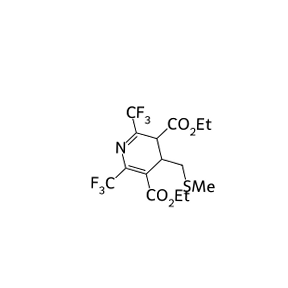 CCOC(=O)C1=C(C(F)(F)F)N=C(C(F)(F)F)C(C(=O)OCC)C1CSC